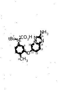 Cc1ccc(N(C(=O)O)C(C)(C)C)cc1Oc1ccc2nc(N)nn2c1